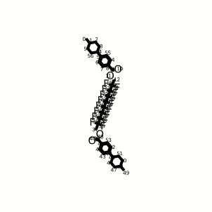 CC1CCC(c2ccc(C(=O)OCC(F)(F)C(F)(F)C(F)(F)C(F)(F)C(F)(F)C(F)(F)C(F)(F)C(F)(F)COC(=O)c3ccc(C4CCC(C)CC4)cc3)cc2)CC1